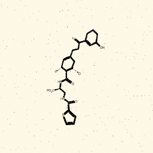 O=C(CCC1=C[C@@H](Cl)C(C(=O)N[C@@H](CNC(=O)c2cccs2)C(=O)O)[C@@H](Cl)C1)C1=CC(O)CCC1